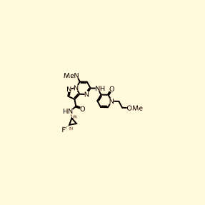 CNc1cc(Nc2cccn(CCOC)c2=O)nc2c(C(=O)N[C@@H]3C[C@@H]3F)cnn12